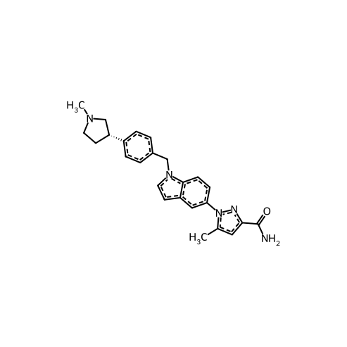 Cc1cc(C(N)=O)nn1-c1ccc2c(ccn2Cc2ccc([C@@H]3CCN(C)C3)cc2)c1